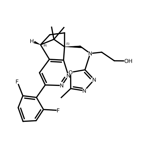 Cc1nnc(N(CCO)C[C@@]23CC[C@@H](c4cc(-c5c(F)cccc5F)nnc42)C3(C)C)o1